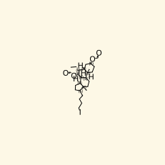 CC[C@H]1[C@@H](OC=O)[C@@H]2[C@H](CC[C@]3(C)[C@@H](CCCCI)CC[C@@H]23)[C@@]2(C)CC[C@@H](OC=O)C[C@@H]12